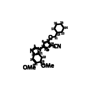 COC1=Cc2ncn(-c3cc(OCC4CCCCC4)c(C#N)s3)c2CC1OC